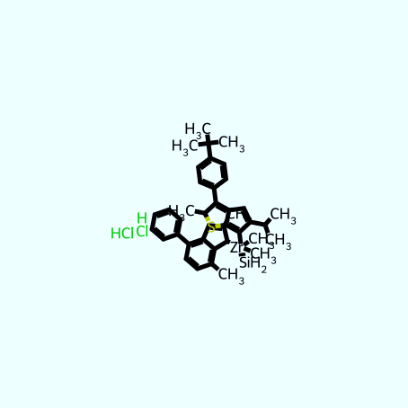 CC1=Cc2c(-c3ccccc3)ccc(C)c2[CH]1[Zr]([CH3])([CH3])(=[SiH2])[C]1=C2SC(C)C(c3ccc(C(C)(C)C)cc3)=C2C=C1C(C)C.Cl.Cl